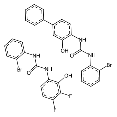 O=C(Nc1ccc(-c2ccccc2)cc1O)Nc1ccccc1Br.O=C(Nc1ccccc1Br)Nc1ccc(F)c(F)c1O